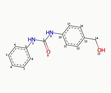 O=C(Nc1ccccc1)Nc1ccc(CO)cc1